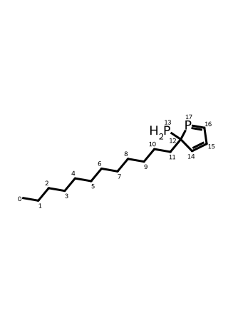 CCCCCCCCCCCCC1(P)C=CC=P1